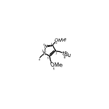 COc1nn(C)c(OC)c1C(C)(C)C